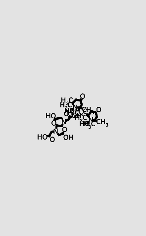 CC1(C)CC(=O)CC(C)(C)N1O.CC1(C)CC(=O)CC(C)(C)N1O.O=C(O)CN(CCN(CC(=O)O)CC(=O)O)CC(=O)O